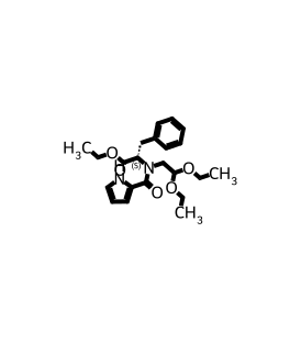 CCOC(=O)[C@H](Cc1ccccc1)N(CC(OCC)OCC)C(=O)c1ccc[nH]1